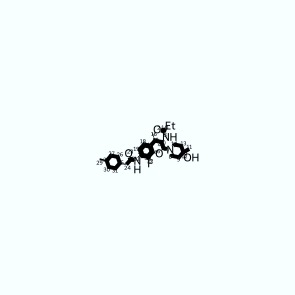 CCC(=O)N[C@@H](C(=O)N1CCC(C)(O)CC1)[C@@H](C)c1ccc(NC(=O)C[C@H]2CC[C@H](C)CC2)c(F)c1